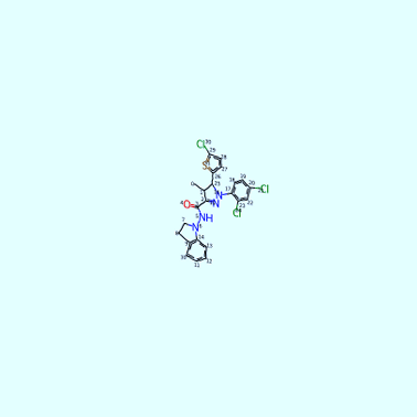 CC1C(C(=O)NN2CCc3ccccc32)=NN(c2ccc(Cl)cc2Cl)C1c1ccc(Cl)s1